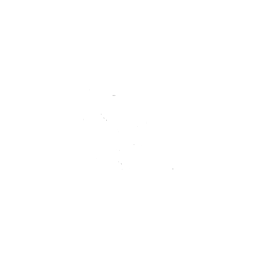 CC(C)(C)OC(=O)C1(N)CCCN(CC(=O)O)C1=O